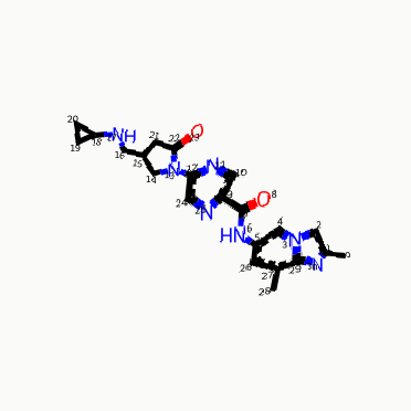 Cc1cn2cc(NC(=O)c3cnc(N4CC(CNC5CC5)CC4=O)cn3)cc(C)c2n1